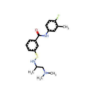 Cc1cc(NC(=O)c2cccc(SNC(C)CN(C)C)c2)ccc1F